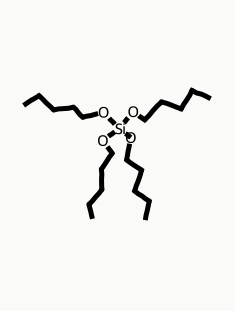 CCCCCO[Si](OCCCCC)(OCCCCC)OCCCCC